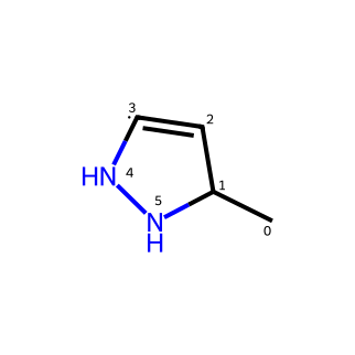 CC1C=[C]NN1